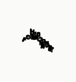 O=C(Nc1ccc(F)cc1)C1(C(=O)Nc2ccc(Oc3ncnc4cc(Br)cnc34)cc2)CC1